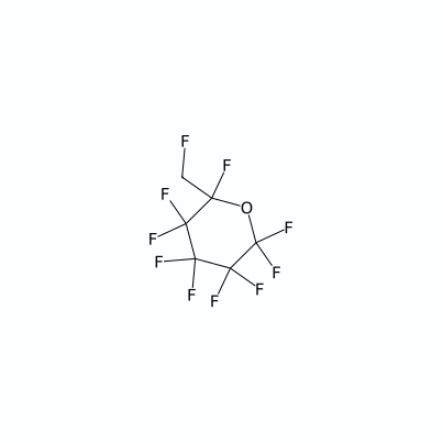 FCC1(F)OC(F)(F)C(F)(F)C(F)(F)C1(F)F